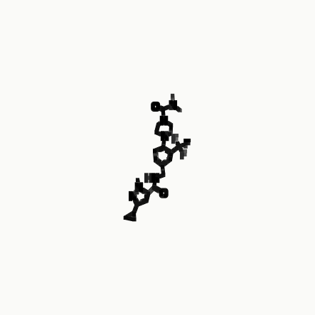 CN(C)C(=O)N1CCN(c2ccc(CNC(=O)c3cc(C4CC4)nn3C)cc2C(F)(F)F)CC1